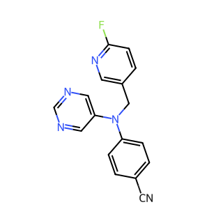 N#Cc1ccc(N(Cc2ccc(F)nc2)c2cncnc2)cc1